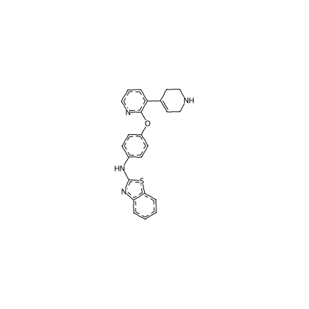 C1=C(c2cccnc2Oc2ccc(Nc3nc4ccccc4s3)cc2)CCNC1